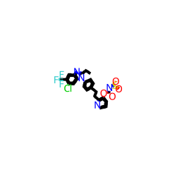 CCc1nc2cc(C(F)(F)F)c(Cl)cc2n1-c1ccc(CCc2ncccc2OC(=O)N=S(=O)=O)cc1